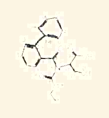 CCOC(=O)N(C(=O)c1ccccc1-c1ccccc1)C(CO)C(=O)O